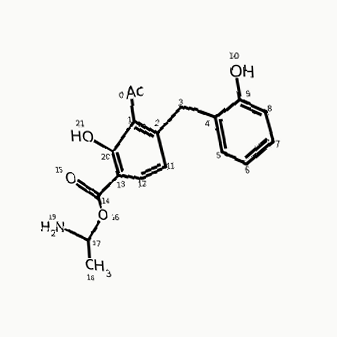 CC(=O)c1c(Cc2ccccc2O)ccc(C(=O)OC(C)N)c1O